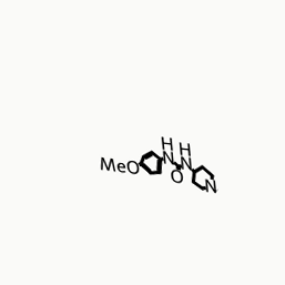 COc1ccc(NC(=O)NC2CCN(C)CC2)cc1